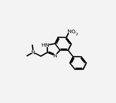 CN(C)Cc1nc2c(-c3ccccc3)cc([N+](=O)[O-])cc2[nH]1